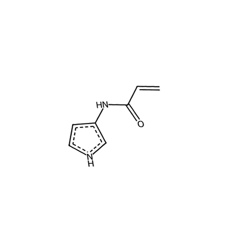 C=CC(=O)Nc1cc[nH]c1